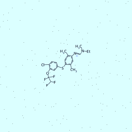 CCN(C)/C=N/c1cc(C)c(Sc2ccc(Cl)c(OC(F)(F)C(F)F)c2)cc1C